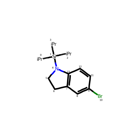 CC(C)[Si](C(C)C)(C(C)C)N1CCc2cc(Br)ccc21